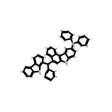 c1ccc(C(c2cc3oc4ccc(N(c5ccccc5)c5ccccc5)cc4c3c3ccccc23)c2cccc3c2sc2ccccc23)cc1